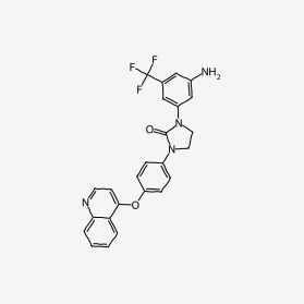 Nc1cc(N2CCN(c3ccc(Oc4ccnc5ccccc45)cc3)C2=O)cc(C(F)(F)F)c1